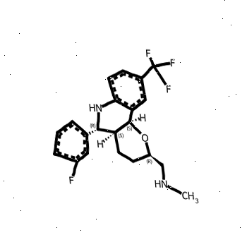 CNC[C@H]1CC[C@@H]2[C@H](O1)c1cc(C(F)(F)F)ccc1N[C@H]2c1cccc(F)c1